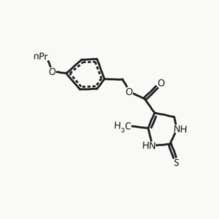 CCCOc1ccc(COC(=O)C2=C(C)NC(=S)NC2)cc1